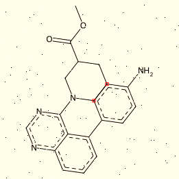 COC(=O)C1CCCN(c2ncnc3cccc(-c4ccc(N)cc4)c23)C1